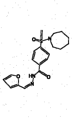 C=S(=O)(c1ccc(C(=O)N/N=C\c2ccco2)cc1)N1CCCCCC1